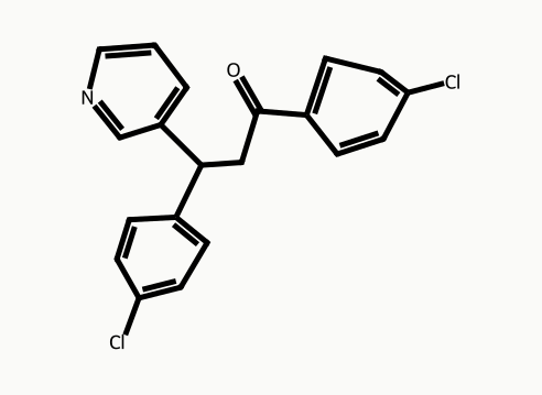 O=C(CC(c1ccc(Cl)cc1)c1cccnc1)c1ccc(Cl)cc1